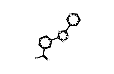 O=C(O)c1cccc(-c2nc(-c3cccnc3)no2)c1